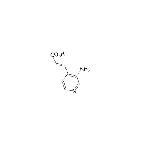 Nc1cnccc1C=CC(=O)O